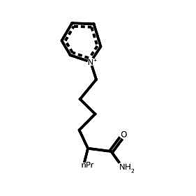 CCCC(CCCC[n+]1ccccc1)C(N)=O